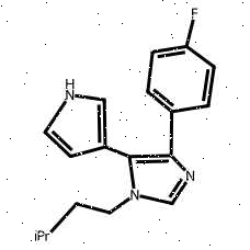 CC(C)CCn1cnc(-c2ccc(F)cc2)c1-c1cc[nH]c1